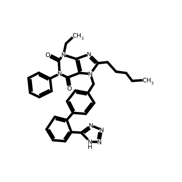 CCCCCc1nc2c(c(=O)n(-c3ccccc3)c(=O)n2CC)n1Cc1ccc(-c2ccccc2-c2nnn[nH]2)cc1